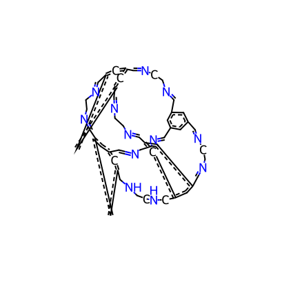 C1=N/CC/N=C/c2cc3cc(c2)/C=N/CC/N=C/c2cc4cc(c2)CNCCNCc2cc(cc(c2)/C=N/CC/N=C/3)/C=N/CC/N=C/c2cc/1cc(c2)/C=N/CC/N=C/4